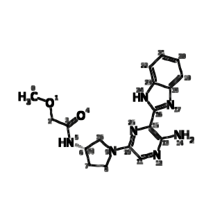 COCC(=O)N[C@H]1CCN(c2cnc(N)c(-c3nc4ccccc4[nH]3)n2)C1